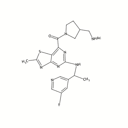 CC(=O)NCC1CCN(C(=O)c2nc(NC(C)c3cncc(F)c3)nc3nc(C)sc23)C1